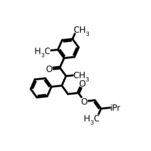 C/C(=C\OC(=O)CC(c1ccccc1)C(C)C(=O)c1ccc(C)cc1C)C(C)C